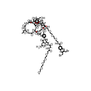 CC[C@H](C)[C@@H]1NC(=O)CNC(=O)[C@H]2Cc3c4[nH]c5cc(ccc35)OC(C(=O)N(C)CCN(CCOCCOCCOCCNC(=O)c3ccc5nc(CBr)c(CBr)nc5c3)C(=O)OCc3ccc(NC(=O)[C@H](CC(N)=O)NC(=O)[C@H](C)NC(=O)[C@H](C)NC(=O)CCOCCOCCOCCOCCOC)cc3)(C(=O)N[C@@H]([C@@H](C)[C@@H](O)CO)C(=O)N2)[C@@H]2C[C@@H](O)CN2C(=O)[C@H](CC(N)=O)NC(=O)[C@H](C[S+]4[O-])NC(=O)CNC1=O